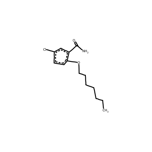 CCCCCCCOc1ccc(Cl)cc1C(N)=O